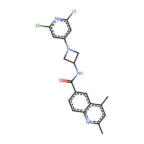 Cc1cc(C)c2cc(C(=O)NC3CN(c4cc(Cl)nc(Cl)c4)C3)ccc2n1